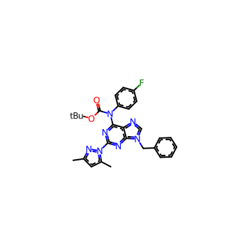 Cc1cc(C)n(-c2nc(N(C(=O)OC(C)(C)C)c3ccc(F)cc3)c3ncn(Cc4ccccc4)c3n2)n1